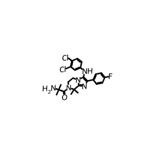 CC(C)(N)C(=O)N1CCn2c(nc(-c3ccc(F)cc3)c2Nc2ccc(Cl)c(Cl)c2)C1(C)C